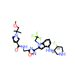 COCC(C)(C)n1ccc(C(=O)NCc2nc(-c3cc4c(N[C@@H]5CNCC[C@@H]5F)cccc4n3CC(F)(F)F)no2)c1